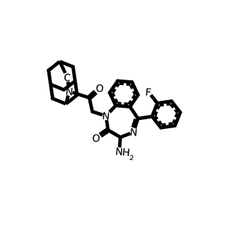 NC1N=C(c2ccccc2F)c2ccccc2N(CC(=O)N2CC3CC4CC(C3)CC2C4)C1=O